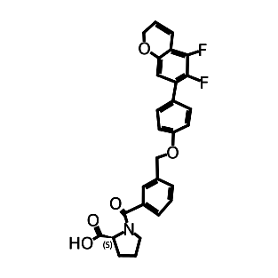 O=C(O)[C@@H]1CCCN1C(=O)c1cccc(COc2ccc(-c3cc4c(c(F)c3F)C=CCO4)cc2)c1